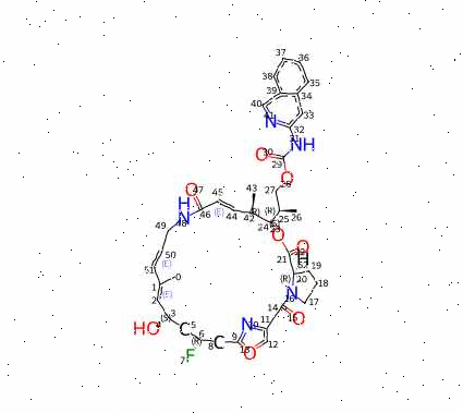 CC1=C\[C@@H](O)C[C@@H](F)Cc2nc(co2)C(=O)N2CCC[C@@H]2C(=O)O[C@H]([C@H](C)COC(=O)Nc2cc3ccccc3cn2)[C@H](C)/C=C/C(=O)NC\C=C\1